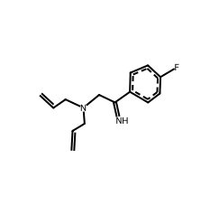 C=CCN(CC=C)CC(=N)c1ccc(F)cc1